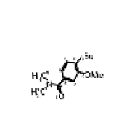 COc1cc(C(=O)N(C)C)ccc1C(C)(C)C